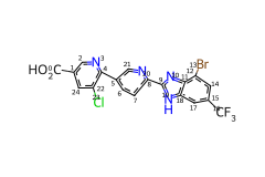 O=C(O)c1cnc(-c2ccc(-c3nc4c(Br)cc(C(F)(F)F)cc4[nH]3)nc2)c(Cl)c1